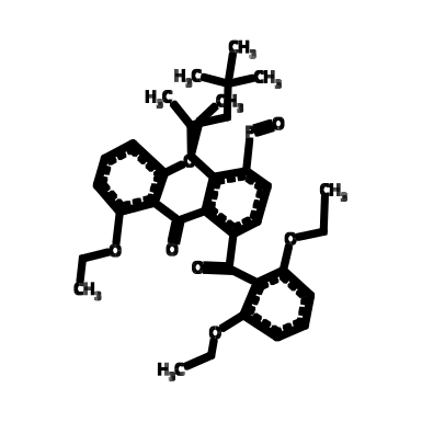 CCOc1cccc(OCC)c1C(=O)c1ccc(P=O)c(CC(C)CC(C)(C)C)c1C(=O)c1c(OCC)cccc1OCC